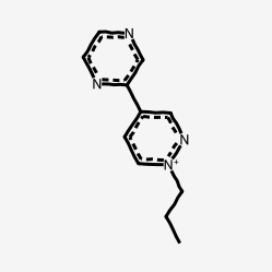 CCC[n+]1ccc(-c2cnccn2)cn1